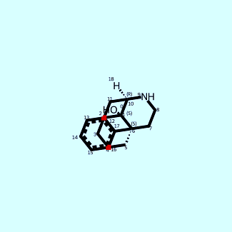 O[C@@]12CCCC[C@@]13CCN[C@@H]2Cc1ccccc13